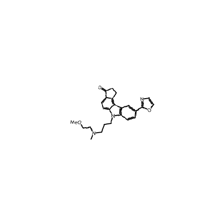 COCCN(C)CCCn1c2ccc(-c3ncco3)cc2c2c3c(ccc21)C(=O)CC3